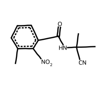 Cc1cccc(C(=O)NC(C)(C)C#N)c1[N+](=O)[O-]